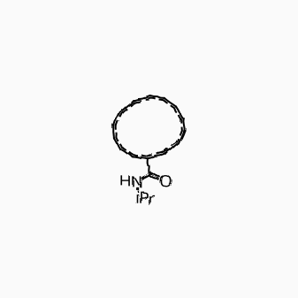 CC(C)NC(=O)c1ccccccccccccc1